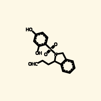 O=CCCC1c2ccccc2CN1S(=O)(=O)c1ccc(O)cc1O